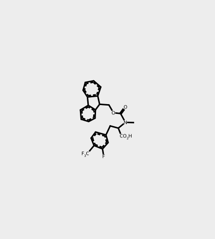 CN(C(=O)OCC1c2ccccc2-c2ccccc21)C(Cc1ccc(C(F)(F)F)c(F)c1)C(=O)O